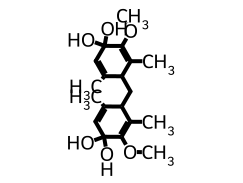 COC1=C(C)C(CC2C(C)=CC(O)(O)C(OC)=C2C)C(C)=CC1(O)O